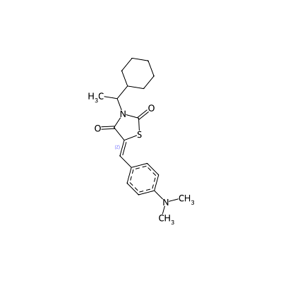 CC(C1CCCCC1)N1C(=O)S/C(=C\c2ccc(N(C)C)cc2)C1=O